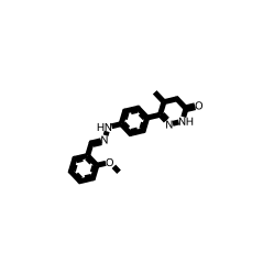 COc1ccccc1C=NNc1ccc(C2=NNC(=O)CC2C)cc1